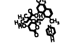 C1CNCCN1.CCC(C)(C)C(=O)O[C@H]1C[C@@H](C)C=C2C=C[C@H](C)[C@H](CC[C@@H]3C[C@@H](O)CC(=O)O3)[C@H]21